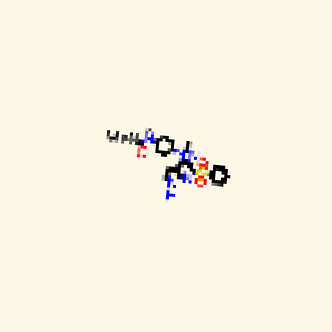 CNC(=O)N(C)C1CCC(n2c(C)nc3c(S(=O)(=O)c4ccccc4)nc4[nH]ccc4c32)CC1